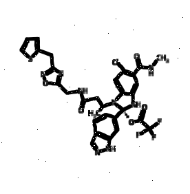 CNC(=O)c1cc2c(cc1Cl)N(C(C)CC(=O)NCc1nc(Cc3cccs3)no1)[C@](OC(=O)C(F)(F)F)(c1ccc3cn[nH]c3c1)N2